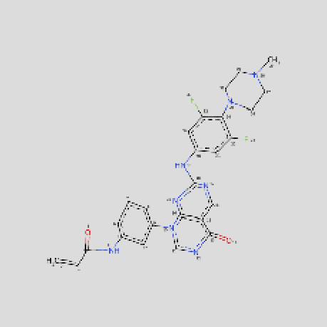 C=CC(=O)Nc1cccc(-n2cnc(=O)c3cnc(Nc4cc(F)c(N5CCN(C)CC5)c(F)c4)nc32)c1